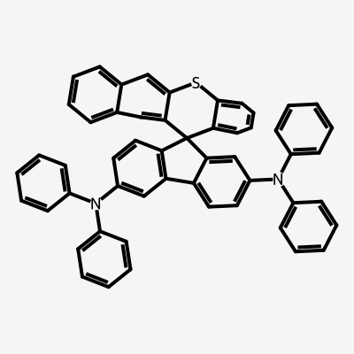 c1ccc(N(c2ccccc2)c2ccc3c(c2)-c2ccc(N(c4ccccc4)c4ccccc4)cc2C32c3ccccc3Sc3cc4ccccc4cc32)cc1